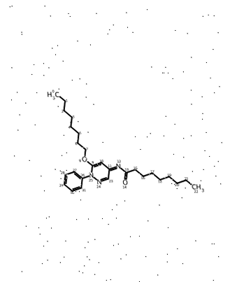 CCCCCCCCOc1cc(=NC(=O)CCCCCCCC)cnn1-c1ccccc1